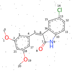 COc1cc(C=C2C(=O)Nc3ccc(Cl)cc32)cc(OC)c1